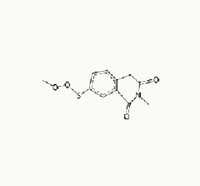 COOSc1ccc2c(c1)C(=O)N(C)C(=O)C2